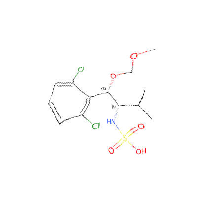 COCO[C@@H](c1c(Cl)cccc1Cl)[C@@H](NS(=O)(=O)O)C(C)C